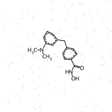 CN(C)c1cccc(Cc2ccc(C(=O)NO)cc2)c1